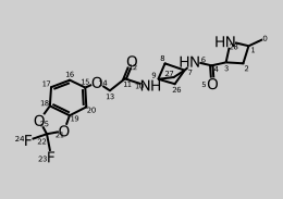 CC1CC(C(=O)NC23CC(NC(=O)COc4ccc5c(c4)OC(F)(F)O5)(C2)C3)N1